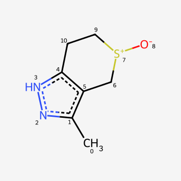 Cc1n[nH]c2c1C[S+]([O-])CC2